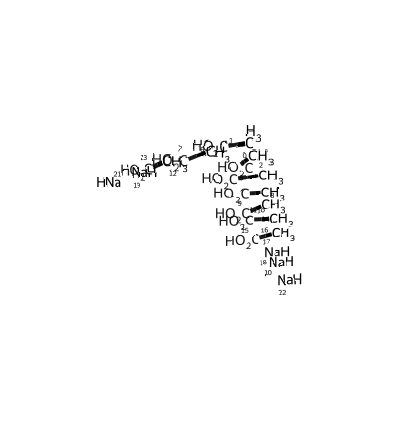 CC(=O)O.CC(=O)O.CC(=O)O.CC(=O)O.CC(=O)O.CC(=O)O.CC(=O)O.CC(=O)O.CC(=O)O.[NaH].[NaH].[NaH].[NaH].[NaH]